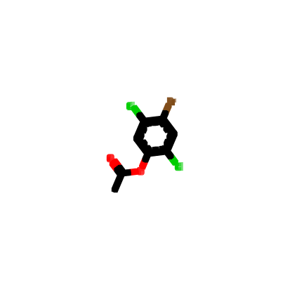 CC(=O)Oc1cc(Cl)c(Br)cc1Cl